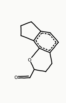 O=CC1CCc2ccc3c(c2O1)CCC3